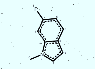 Cn1c[c]c2ccc(F)cc21